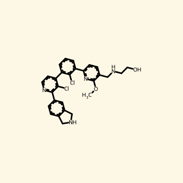 COc1nc(-c2cccc(-c3ccnc(-c4ccc5c(c4)CNC5)c3Cl)c2Cl)ccc1CNCCO